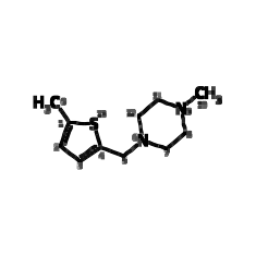 Cc1ccc(CN2CCN(C)CC2)s1